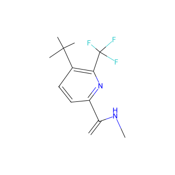 C=C(NC)c1ccc(C(C)(C)C)c(C(F)(F)F)n1